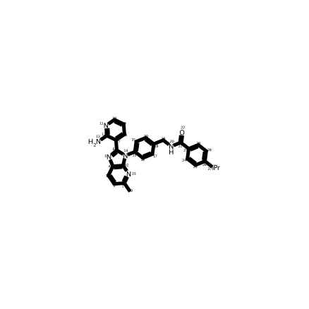 Cc1ccc2nc(-c3cccnc3N)n(-c3ccc(CNC(=O)c4ccc(C(C)C)cc4)cc3)c2n1